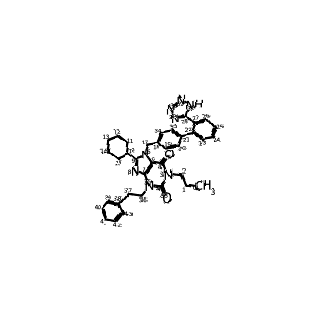 CCCn1c(=O)c2c(nc(C3CCCCC3)n2Cc2ccc(-c3ccccc3-c3nnn[nH]3)cc2)n(CCc2ccccc2)c1=O